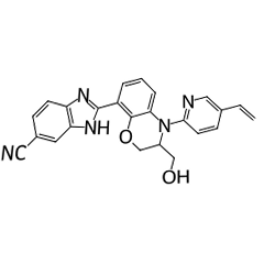 C=Cc1ccc(N2c3cccc(-c4nc5ccc(C#N)cc5[nH]4)c3OCC2CO)nc1